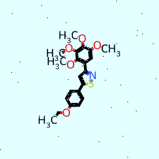 CCOc1ccc(-c2cc(-c3cc(OC)c(OC)c(OC)c3OC)ns2)cc1